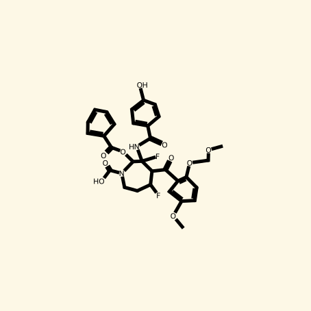 COCOc1ccc(OC)cc1C(=O)C1C(F)CCN(C(=O)O)C(OC(=O)c2ccccc2)C1(F)NC(=O)c1ccc(O)cc1